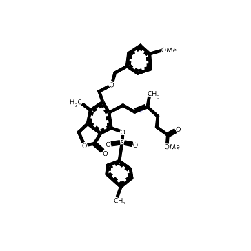 COC(=O)CC/C(C)=C/Cc1c(COCc2ccc(OC)cc2)c(C)c2c(c1OS(=O)(=O)c1ccc(C)cc1)C(=O)OC2